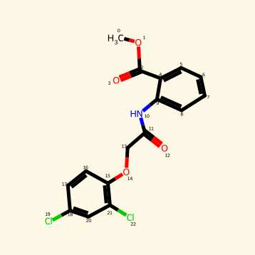 COC(=O)c1ccccc1NC(=O)COc1ccc(Cl)cc1Cl